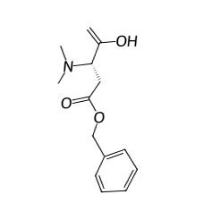 C=C(O)[C@H](CC(=O)OCc1ccccc1)N(C)C